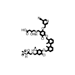 COc1cc(OCc2cccc(-c3cccc(COc4cc(OCc5cncc(C#N)c5)c(CNC[C@@H](O)CC(=O)O)cc4Cl)c3C)c2C)c(Cl)cc1CNCC(=O)NS(C)(=O)=O